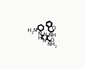 NC(=O)c1ncc(N[C@@H]2CCCC[C@@H]2N)nc1N[C@H]1COc2ccccc2C1